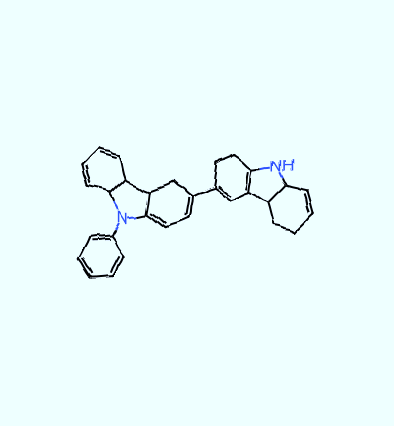 C1=CC2C3CC(C4=CC5=C(CC4)NC4C=CCCC54)=CC=C3N(c3ccccc3)C2C=C1